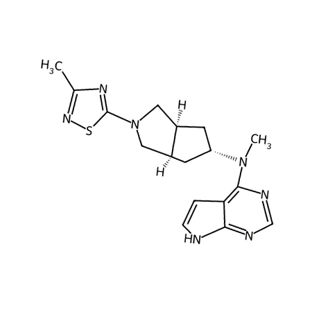 Cc1nsc(N2C[C@H]3C[C@H](N(C)c4ncnc5[nH]ccc45)C[C@H]3C2)n1